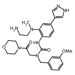 COc1cccc(CN(CC(=O)N2CCOCC2)C(=O)Nc2ccc(-c3cn[nH]c3)cc2N(C)CCN)c1